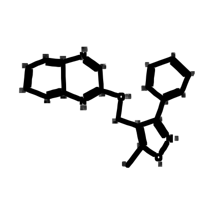 Cc1onc(-c2ccccc2)c1COc1cnc2ccccc2n1